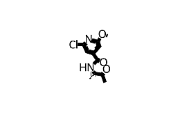 COc1cc(C(=O)N[C@@H](C)C(C)=O)cc(Cl)n1